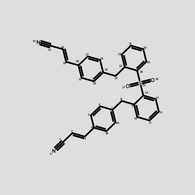 N#CC=Cc1ccc(Cc2ccccc2S(=O)(=O)c2ccccc2Cc2ccc(C=CC#N)cc2)cc1